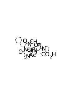 CC(=O)N1CCC1C(=O)N(C)[C@@H](CC1CCCCC1)C(=O)N(C)CC(=O)N[C@@H](CC(=O)O)C(=O)N1CCCC1